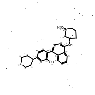 CN1CCCC(Nc2nnc(-c3ccc(N4CCOCC4)cc3O)c3ccccc23)C1